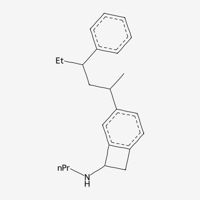 CCCNC1Cc2ccc(C(C)CC(CC)c3ccccc3)cc21